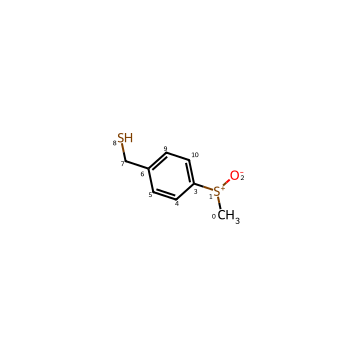 C[S+]([O-])c1ccc(CS)cc1